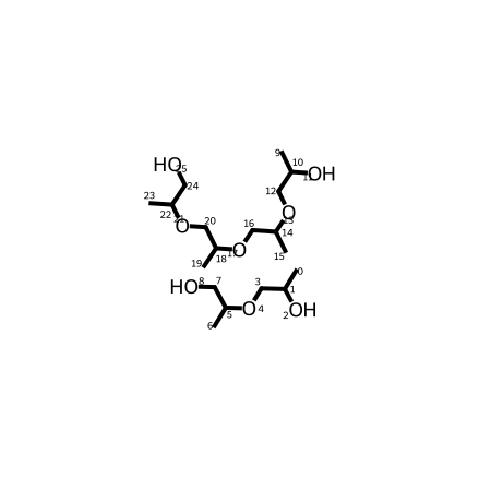 CC(O)COC(C)CO.CC(O)COC(C)COC(C)COC(C)CO